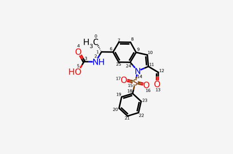 C[C@@H](NC(=O)O)c1ccc2cc(C=O)n(S(=O)(=O)c3ccccc3)c2c1